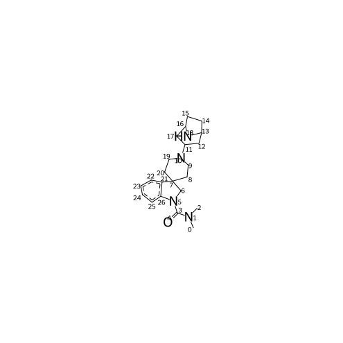 CN(C)C(=O)N1CC2(CCN(C3CC4CCC(C3)N4)CC2)c2ccccc21